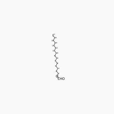 O=COCCCCCCCCCCCCCCCI